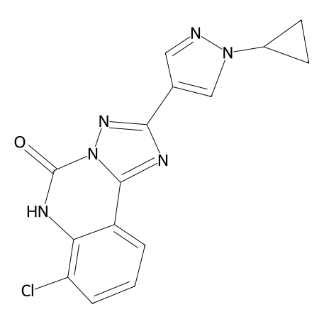 O=c1[nH]c2c(Cl)cccc2c2nc(-c3cnn(C4CC4)c3)nn12